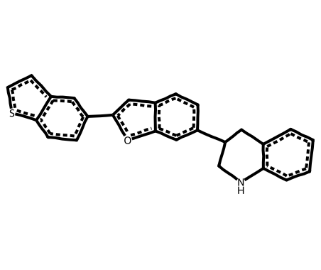 c1ccc2c(c1)CC(c1ccc3cc(-c4ccc5sccc5c4)oc3c1)CN2